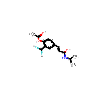 CC(=O)Oc1ccc(C=CC(=O)NC(C)C)cc1C(F)F